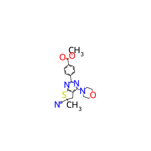 COC(=O)c1ccc(-c2nc3c(c(N4CCOCC4)n2)CC(C)(C#N)S3)cc1